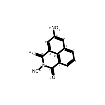 N#CN1C(=O)c2cccc3cc([N+](=O)[O-])cc(c23)C1=O